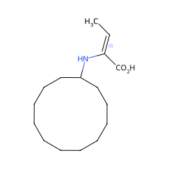 C/C=C(\NC1CCCCCCCCCCC1)C(=O)O